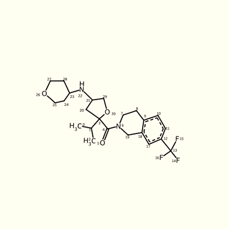 CC(C)C1(C(=O)N2CCc3ccc(C(F)(F)F)cc3C2)CC(NC2CCOCC2)CO1